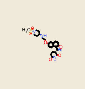 CS(=O)(=O)N1CCC(NCCOc2ccc3c(ccc4onc([C@H]5CCC(=O)NC5=O)c43)c2)CC1